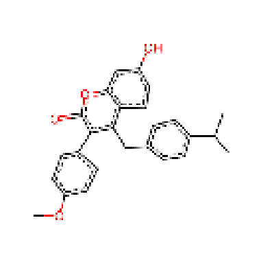 COc1ccc(-c2c(Cc3ccc(C(C)C)cc3)c3ccc(O)cc3oc2=O)cc1